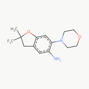 CC1(C(F)(F)F)Cc2cc(N)c(N3CCOCC3)cc2O1